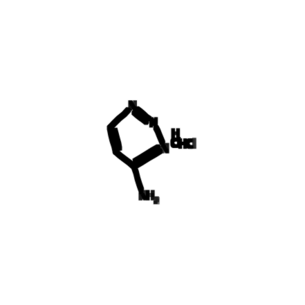 Cl.Cl.Nc1ccnnn1